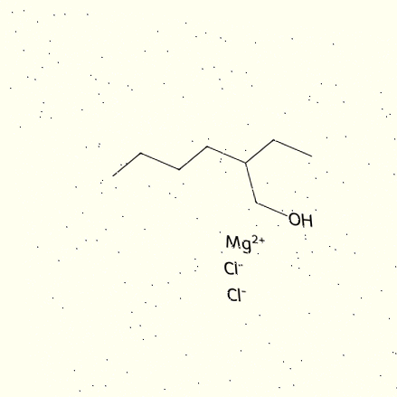 CCCCC(CC)CO.[Cl-].[Cl-].[Mg+2]